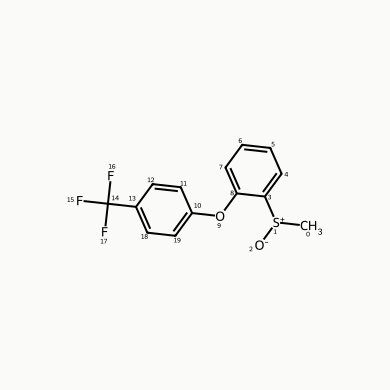 C[S+]([O-])c1ccccc1Oc1ccc(C(F)(F)F)cc1